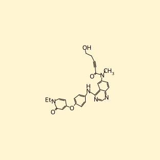 CCn1ccc(Oc2ccc(Nc3ncnc4ccc(N(C)C(=O)C#CCCO)cc34)cc2)cc1=O